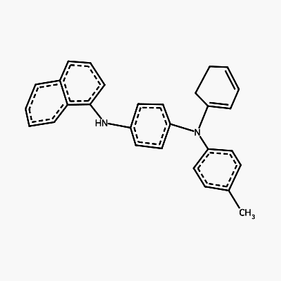 Cc1ccc(N(C2=CC=CCC2)c2ccc(Nc3cccc4ccccc34)cc2)cc1